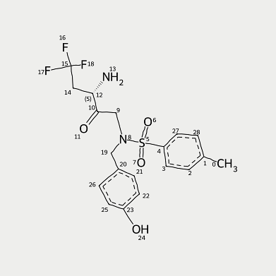 Cc1ccc(S(=O)(=O)N(CC(=O)[C@@H](N)CC(F)(F)F)Cc2ccc(O)cc2)cc1